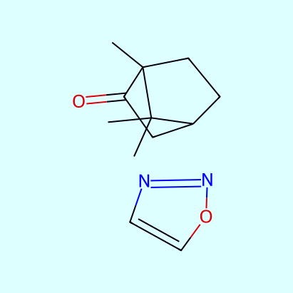 CC12CCC(CC1=O)C2(C)C.c1conn1